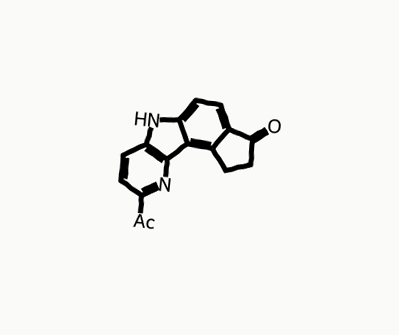 CC(=O)c1ccc2[nH]c3ccc4c(c3c2n1)CCC4=O